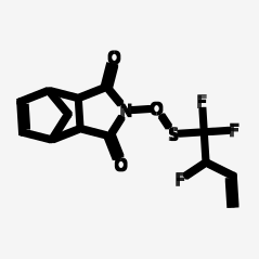 C=CC(F)C(F)(F)SON1C(=O)C2C3C=CC(C3)C2C1=O